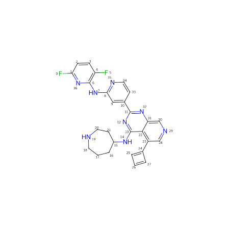 Fc1ccc(F)c(Nc2cc(-c3nc(NC4CCCNCC4)c4c(C5=CC=C5)cncc4n3)ccn2)n1